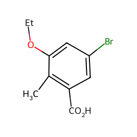 CCOc1cc(Br)cc(C(=O)O)c1C